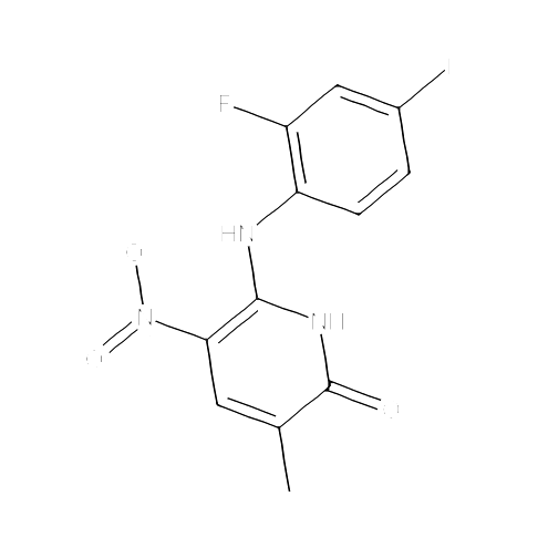 Cc1cc([N+](=O)[O-])c(Nc2ccc(I)cc2F)[nH]c1=O